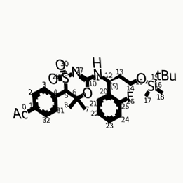 CC(=O)c1ccc(C2C(C)(C)OC(N[C@@H](CCO[Si](C)(C)C(C)(C)C)c3ccccc3F)=NS2(=O)=O)cc1